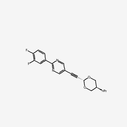 CCC[C@H]1CO[C@H](C#Cc2cnc(-c3ccc(F)c(F)c3)nc2)OC1